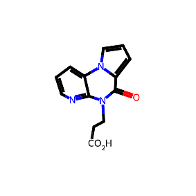 O=C(O)CCn1c(=O)c2cccn2c2cccnc21